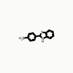 Bc1ccc(C2Nc3ccccc3S2)cc1